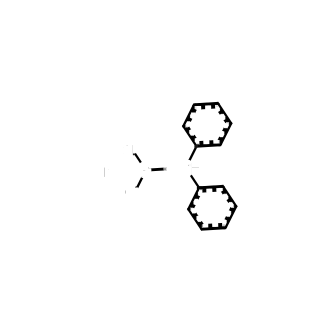 Cl.ClP(Cl)Cl.c1ccc(Pc2ccccc2)cc1